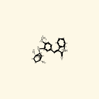 COc1ccc(/C=C2/C(=O)Nc3ccccc32)cc1O[C@H]1C[C@H]2CC[C@@H]1C2